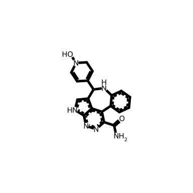 NC(=O)c1nnc2[nH]cc3c2c1-c1ccccc1NC3C1=CCN(O)C=C1